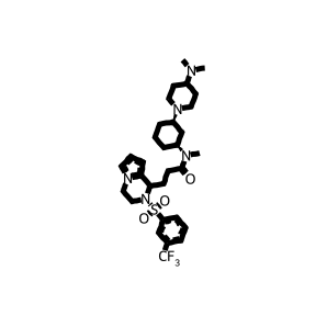 CN(C)C1CCN([C@@H]2CCC[C@H](N(C)C(=O)CCC3c4cccn4CCN3S(=O)(=O)c3cccc(C(F)(F)F)c3)C2)CC1